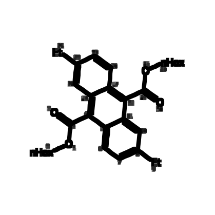 CCCCCCOC(=O)c1c2ccc(CC)cc2c(C(=O)OCCCCCC)c2ccc(CC)cc12